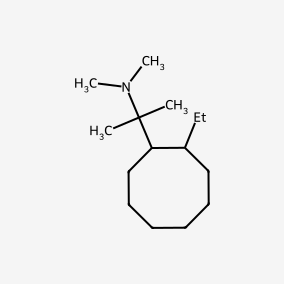 CCC1CCCCCCC1C(C)(C)N(C)C